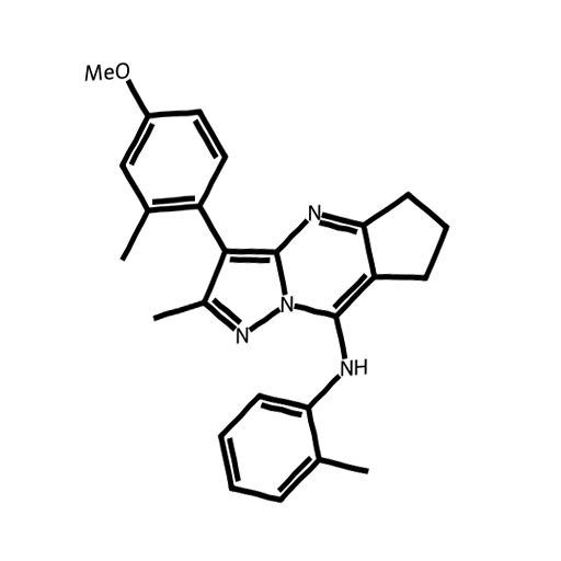 COc1ccc(-c2c(C)nn3c(Nc4ccccc4C)c4c(nc23)CCC4)c(C)c1